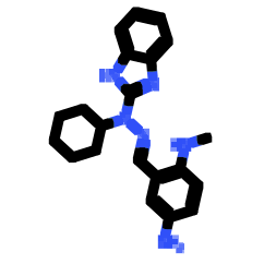 CNc1ccc(N)cc1/C=N/N(c1nc2ccccc2[nH]1)C1CCCCC1